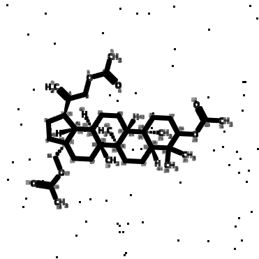 C=C(COC(C)=O)[C@@H]1CC[C@]2(COC(C)=O)CC[C@]3(C)[C@H](CC[C@@H]4[C@@]5(C)CCC(OC(C)=O)C(C)(C)[C@@H]5CC[C@]43C)[C@@H]12